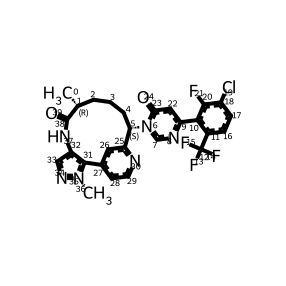 C[C@@H]1CCC[C@H](n2cnc(-c3c(C(F)(F)F)ccc(Cl)c3F)cc2=O)c2cc(ccn2)-c2c(cnn2C)NC1=O